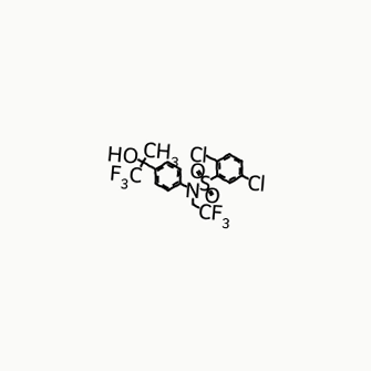 CC(O)(c1ccc(N(CC(F)(F)F)S(=O)(=O)c2cc(Cl)ccc2Cl)cc1)C(F)(F)F